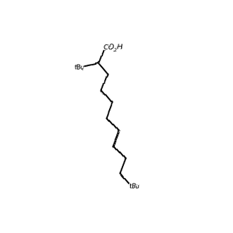 CC(C)(C)CCCCCCCCC(C(=O)O)C(C)(C)C